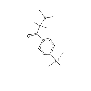 CN(C)C(C)(C)C(=O)c1ccc([N+](C)(C)C)cc1